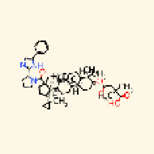 CC(C)(CC(=O)O[C@H]1CC[C@]2(C)[C@H]3CC[C@@H]4[C@H]5[C@H](C6(C)CC6)CC[C@]5(C(=O)N5CCCC5c5ncc(-c6ccccc6)[nH]5)CC[C@@]4(C)[C@]3(C)CC[C@H]2C1(C)C)C(=O)O